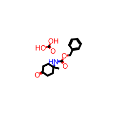 CC1(NC(=O)OCc2ccccc2)CCC(=O)CC1.O=C(O)O